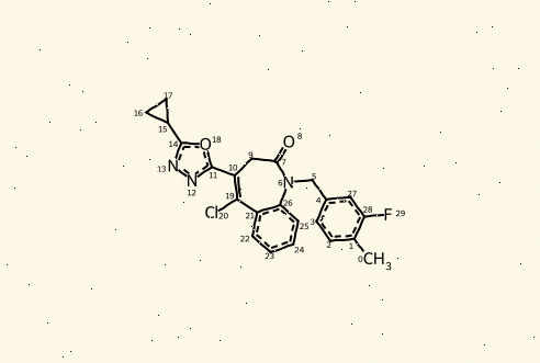 Cc1ccc(CN2C(=O)CC(c3nnc(C4CC4)o3)=C(Cl)c3ccccc32)cc1F